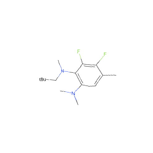 Cc1cc(N(C)C)c(N(C)CC(C)(C)C)c(F)c1F